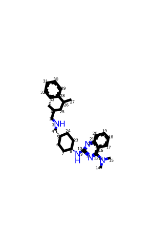 CC(CNC[C@H]1CC[C@@H](Nc2nc(N(C)C)c3ccccc3n2)CC1)CC(C)c1ccccc1